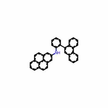 c1ccc(-c2cc3ccccc3c3ccccc23)c(Nc2cc3ccc4cccc5ccc(c2)c3c45)c1